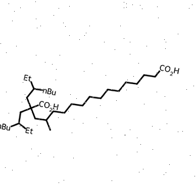 CCCCC(CC)CC(CC(C)CCCCCCCCCCCCC(=O)O)(CC(CC)CCCC)C(=O)O